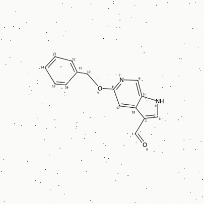 O=Cc1c[nH]c2cnc(OCc3ccccc3)cc12